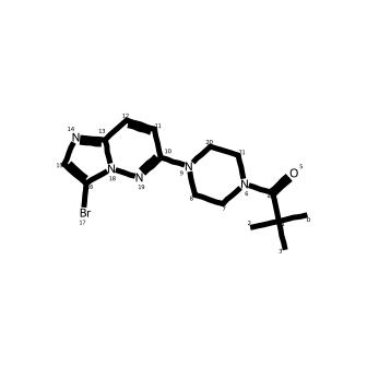 CC(C)(C)C(=O)N1CCN(c2ccc3ncc(Br)n3n2)CC1